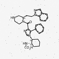 O=C(O)N[C@H]1CCCC[C@@H]1n1cnc(C(=O)N2CCNC[C@H]2CCn2ncc3ccccc32)c1-c1ccccc1